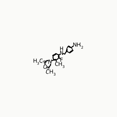 Cc1c(N2C[C@@H](C)O[C@@H](C)C2)ccc(NCc2ccc(N)cc2)c1F